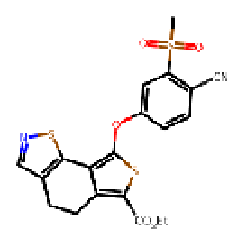 CCOC(=O)c1sc(Oc2ccc(C#N)c(S(C)(=O)=O)c2)c2c1CCc1cnsc1-2